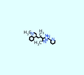 C/C(C=C1C=CN(C)c2ccccc21)=c1/c(C)nn2c(-c3ccccn3)nnc12